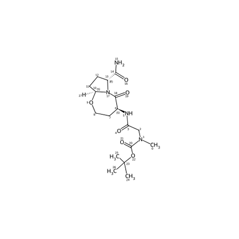 CN(CC(=O)N[C@H]1CCO[C@H]2CC[C@H](C(N)=O)N2C1=O)C(=O)OC(C)(C)C